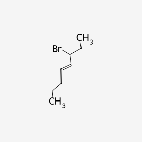 CCC/C=C/C(Br)CC